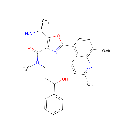 COc1ccc(-c2nc(C(=O)N(C)CCC(O)c3ccccc3)c([C@H](C)N)o2)c2ccc(C(F)(F)F)nc12